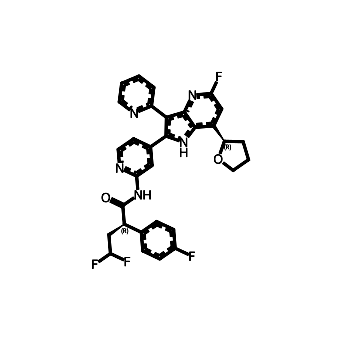 O=C(Nc1cc(-c2[nH]c3c([C@H]4CCCO4)cc(F)nc3c2-c2ccccn2)ccn1)[C@H](CC(F)F)c1ccc(F)cc1